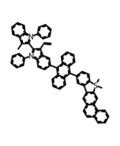 C=Cc1c(-c2c(C)c3ccccc3n2-c2ccccc2)n(-c2ccccc2)c2ccc(-c3c4ccccc4c(-c4ccc5c(c4)-c4cc6ccc7ccccc7c6cc4S5(C)C)c4ccccc34)cc12